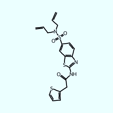 C=CCN(CC=C)S(=O)(=O)c1ccc2nc(NC(=O)Cc3cccs3)sc2c1